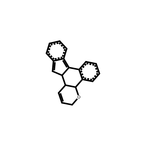 C1=CC2C3C=c4ccccc4=C3c3ccccc3C2OC1